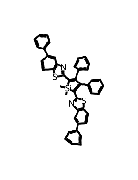 C[Si]1(C)C(c2nc3cc(-c4ccccc4)ccc3s2)=C(c2ccccc2)C(c2ccccc2)=C1c1nc2cc(-c3ccccc3)ccc2s1